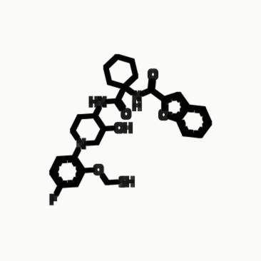 O=C(NC1(C(=O)NC2CCN(c3ccc(F)cc3OCS)CC2O)CCCCC1)c1cc2ccccc2o1